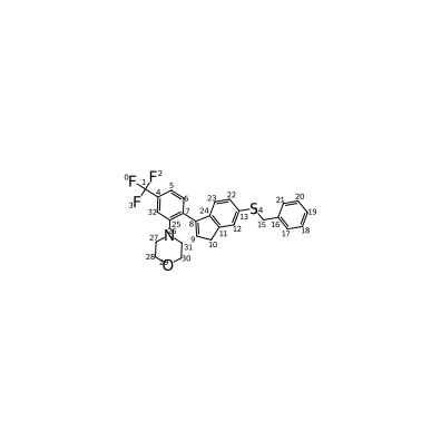 FC(F)(F)c1ccc(C2=CCc3cc(SCc4ccccc4)ccc32)c(N2CCOCC2)c1